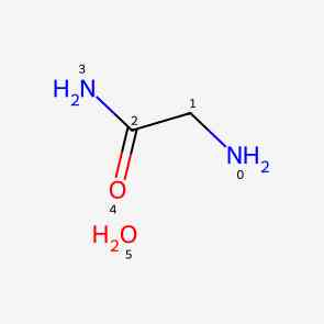 NCC(N)=O.O